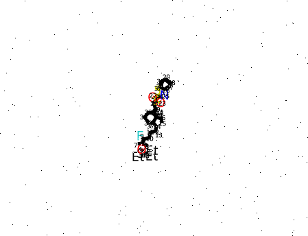 CC[Si](CC)(CC)OC(C)(C)[C@@H](F)CC[C@@H](C)[C@H]1CC[C@H]2/C(=C/CS(=O)(=O)c3nc4ccccc4s3)CCC[C@]12C